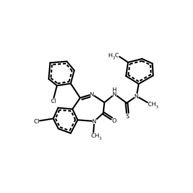 Cc1cccc(N(C)C(=S)NC2N=C(c3ccccc3Cl)c3cc(Cl)ccc3N(C)C2=O)c1